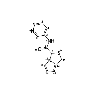 O=C(Nc1cccnc1)C1SCc2cccn21